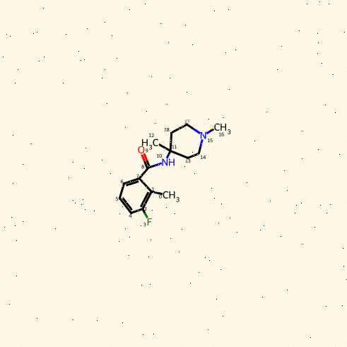 Cc1c(F)cccc1C(=O)NC1(C)CCN(C)CC1